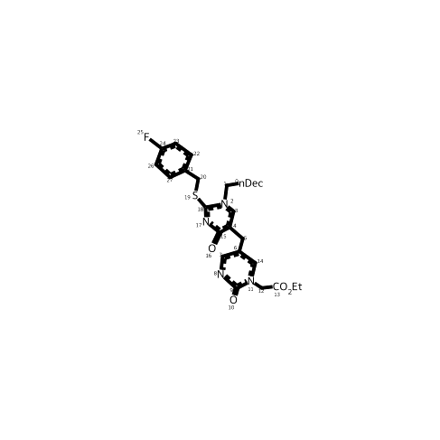 CCCCCCCCCCCn1cc(Cc2cnc(=O)n(CC(=O)OCC)c2)c(=O)nc1SCc1ccc(F)cc1